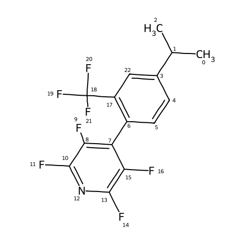 CC(C)c1ccc(-c2c(F)c(F)nc(F)c2F)c(C(F)(F)F)c1